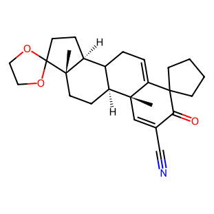 C[C@]12C=C(C#N)C(=O)C3(CCCC3)C1=CCC1[C@@H]2CC[C@@]2(C)[C@H]1CCC21OCCO1